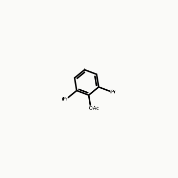 CC(=O)Oc1c(C(C)C)c[c]cc1C(C)C